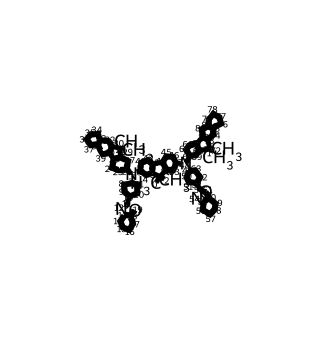 CC1(C)c2cc(N(c3ccc(-c4nc5ccccc5o4)cc3)c3ccc4c(c3)C(C)(C)c3cc5ccccc5cc3-4)ccc2-c2ccc(N(c3ccc(-c4nc5ccccc5o4)cc3)c3ccc4c(c3)C(C)(C)c3cc5ccccc5cc3-4)cc21